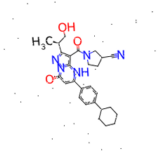 C[C@@H](CO)c1nn2c(=O)cc(-c3ccc(C4CCCCC4)cc3)[nH]c2c1C(=O)N1CCC(C#N)C1